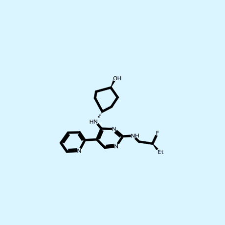 CC[C@H](F)CNc1ncc(-c2ccccn2)c(N[C@H]2CC[C@H](O)CC2)n1